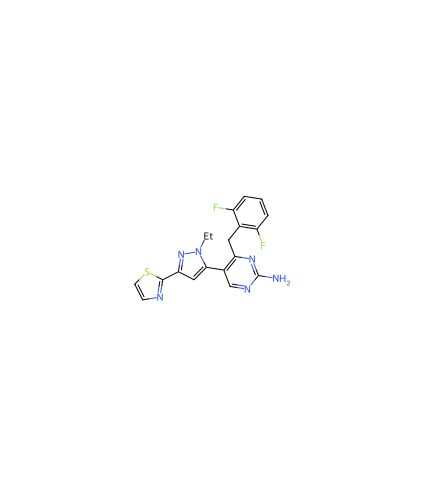 CCn1nc(-c2nccs2)cc1-c1cnc(N)nc1Cc1c(F)cccc1F